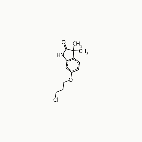 CC1(C)C(=O)Nc2cc(OCCCCl)ccc21